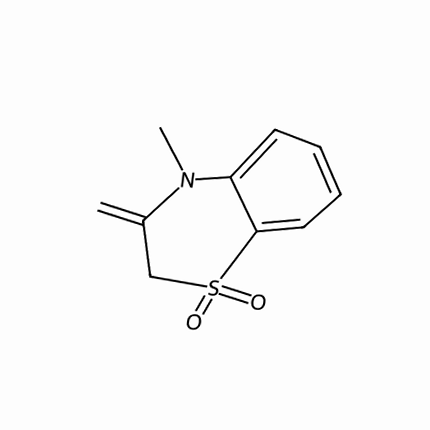 C=C1CS(=O)(=O)c2ccccc2N1C